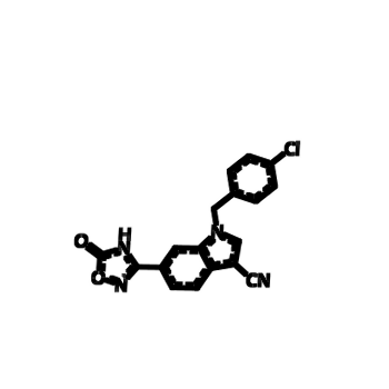 N#Cc1cn(Cc2ccc(Cl)cc2)c2cc(-c3noc(=O)[nH]3)ccc12